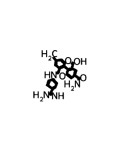 C=Cc1ccc(-c2ccc(C(N)=O)cc2C(=O)O)c(C(=O)Nc2ccc(C(=N)N)cc2)c1